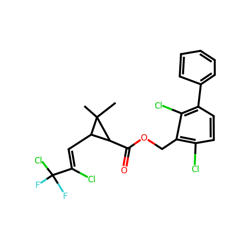 CC1(C)C(C=C(Cl)C(F)(F)Cl)C1C(=O)OCc1c(Cl)ccc(-c2ccccc2)c1Cl